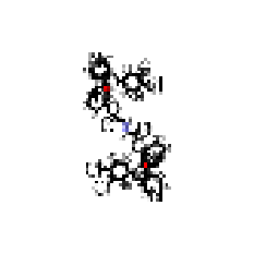 O=C(/C=C/C(=O)OC12CCC(CC(Oc3ccc(Cl)c(Cl)c3)C1)N2Cc1ccncc1)OC12CCC(CC(Oc3ccc(Cl)c(Cl)c3)C1)N2Cc1ccncc1